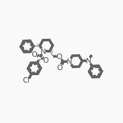 CN(c1ccccc1)C1CCN(C(=O)OC[C@H]2CCC[C@@H](c3ccccc3)N2S(=O)(=O)c2ccc(Cl)cc2)CC1